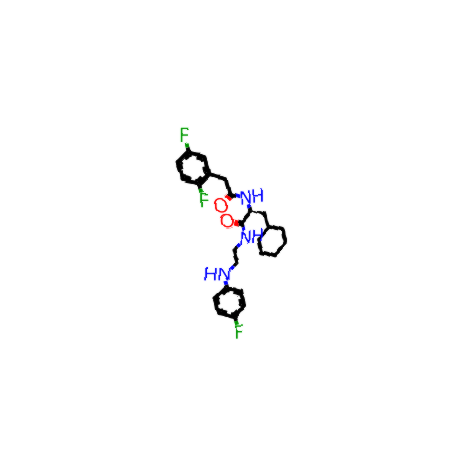 O=C(Cc1cc(F)ccc1F)N[C@@H](CC1CCCCC1)C(=O)NCCNc1ccc(F)cc1